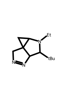 CCN1C(C(C)(C)C)C2N=NCC23CC13